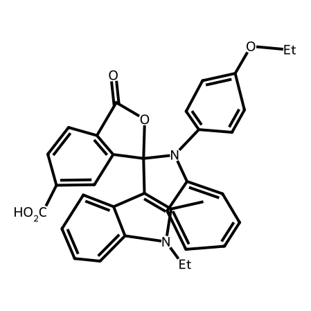 CCOc1ccc(N(c2ccccc2)C2(c3c(C)n(CC)c4ccccc34)OC(=O)c3ccc(C(=O)O)cc32)cc1